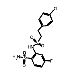 NS(=O)(=O)c1ccc(F)cc1NS(=O)(=O)CCc1ccc(Cl)cc1